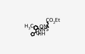 CCOC(=O)C=Cc1csc(NC(=O)Nc2ccc(C)cc2C(=O)C2CCCC2)n1